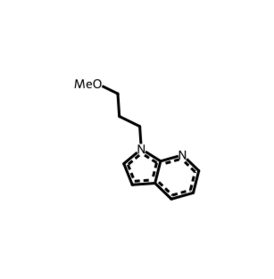 COCCCn1ccc2cccnc21